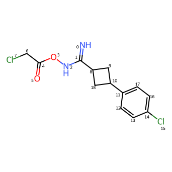 N=C(NOC(=O)CCl)C1CC(c2ccc(Cl)cc2)C1